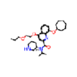 CCCOCCOc1cc(C(=O)N(C(C)C)[C@@H]2CCCNC2)nc2c(OC3CCCCCC3)cccc12